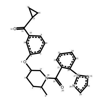 CC1CCC(Oc2cccc(C(=O)C3CC3)c2)CN1C(=O)c1ccccc1-n1nccn1